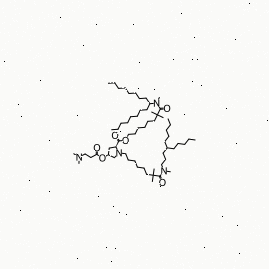 CCCCCCCCC(CCCCCCCC)N(C)C(=O)C(C)(C)CCCCCCOC(=O)[C@@H]1C[C@H](OC(=O)CCN(C)C)CN1CCCCCCC(C)(C)C(=O)N(C)CCCC(CCCCC)CCCCC